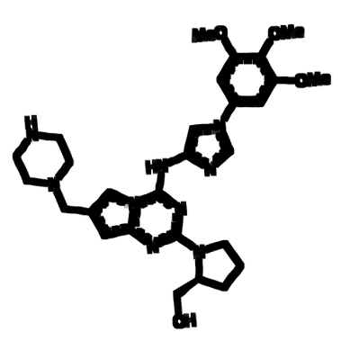 COc1cc(-n2cnc(Nc3nc(N4CCC[C@H]4CO)nc4cc(CN5CCNCC5)cn34)c2)cc(OC)c1OC